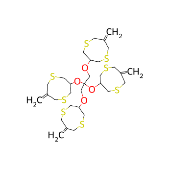 C=C1CSCC(OCC(COC2CSCC(=C)CSC2)(OC2CSCC(=C)CSC2)OC2CSCC(=C)CSC2)CSC1